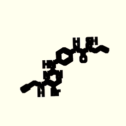 C#CCNc1nc(Nc2ccc(NC(=O)N(S)CC=C)cc2)ncc1Br